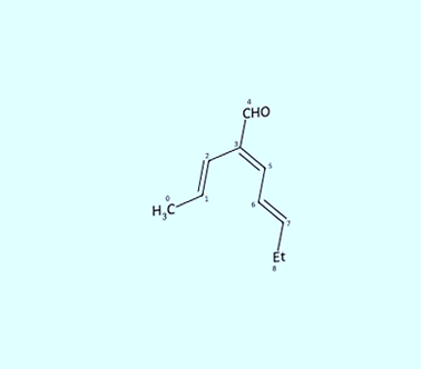 CC=CC(C=O)=CC=CCC